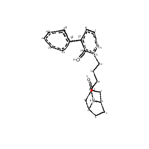 O=C1CC2CCC(C1)N2CCCCn1nccc(-c2ccccc2)c1=O